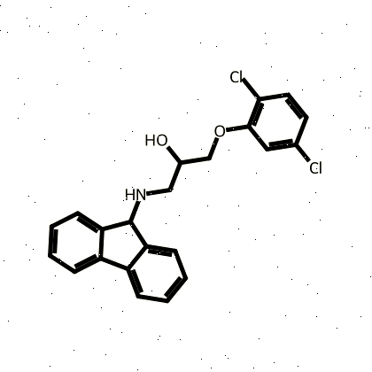 OC(CNC1c2ccccc2-c2ccccc21)COc1cc(Cl)ccc1Cl